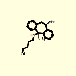 CCC[C@@H]1Cc2ccccc2[C@](C)(NCCCCO)c2ccccc21